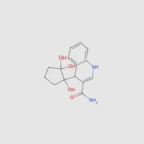 NC(=O)C1=CNc2ccccc2C1C1(O)CCCC1(O)O